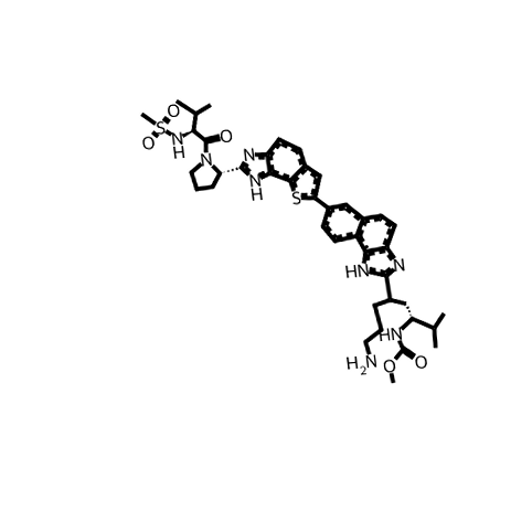 COC(=O)N[C@H](CC(CCCN)c1nc2ccc3cc(-c4cc5ccc6nc([C@@H]7CCCN7C(=O)[C@@H](NS(C)(=O)=O)C(C)C)[nH]c6c5s4)ccc3c2[nH]1)C(C)C